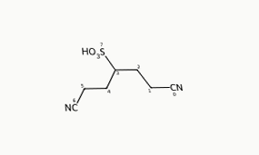 N#CCCC(CCC#N)S(=O)(=O)O